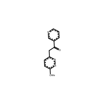 COc1ccc(CC(=O)c2cccnc2)nn1